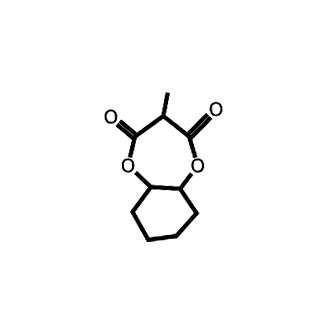 CC1C(=O)OC2CCCCC2OC1=O